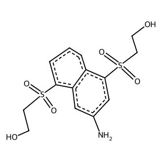 Nc1cc(S(=O)(=O)CCO)c2cccc(S(=O)(=O)CCO)c2c1